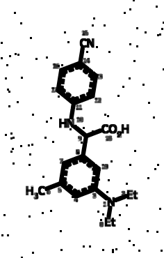 CCN(CC)c1cc(C)cc(C(Nc2ccc(C#N)cc2)C(=O)O)c1